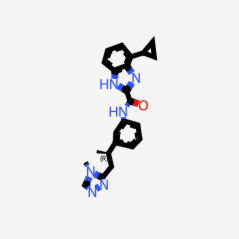 C[C@H](Cc1nncn1C)c1cccc(NC(=O)c2nc3c(C4CC4)cccc3[nH]2)c1